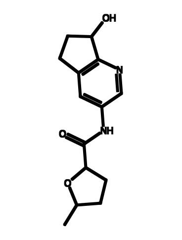 CC1CCC(C(=O)Nc2cnc3c(c2)CCC3O)O1